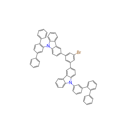 Brc1cc(-c2ccc3c(c2)c2ccccc2n3-c2cccc(-c3ccccc3-c3ccccc3)c2)cc(-c2ccc3c(c2)c2ccccc2n3-c2cc(-c3ccccc3)ccc2-c2ccccc2)c1